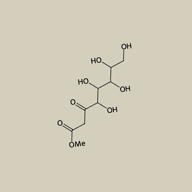 COC(=O)CC(=O)C(O)C(O)C(O)C(O)CO